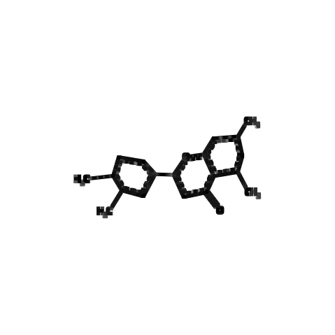 Cc1cc(C)c2c(=O)cc(-c3ccc(C)c(C)c3)oc2c1